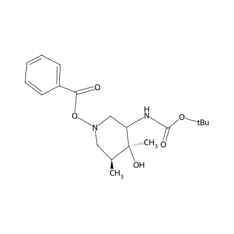 C[C@H]1CN(OC(=O)c2ccccc2)CC(NC(=O)OC(C)(C)C)[C@@]1(C)O